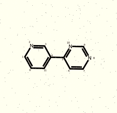 c1cncc(-c2ccncn2)c1